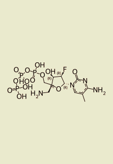 Cc1cn([C@@H]2O[C@](CN)(COP(=O)(O)OP(=O)(O)OP(=O)(O)O)[C@@H](O)[C@H]2F)c(=O)nc1N